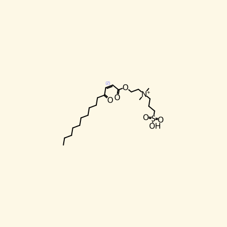 CCCCCCCCCCC(=O)/C=C\C(=O)OCC[N+](C)(C)CCCS(=O)(=O)O